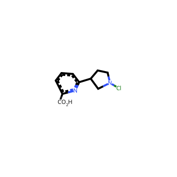 O=C(O)c1cccc(C2CCN(Cl)C2)n1